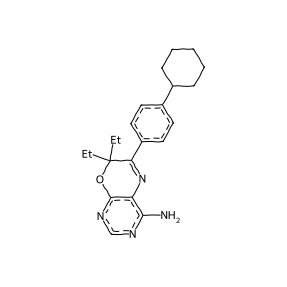 CCC1(CC)Oc2ncnc(N)c2N=C1c1ccc(C2CCCCC2)cc1